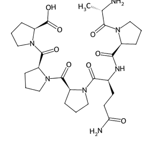 C[C@H](N)C(=O)N1CCC[C@H]1C(=O)N[C@@H](CCC(N)=O)C(=O)N1CCC[C@H]1C(=O)N1CCC[C@H]1C(=O)N1CCC[C@H]1C(=O)O